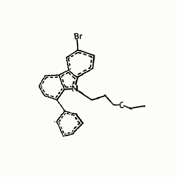 CCCCCCn1c2ccc(Br)cc2c2cccc(-c3[c]cccc3)c21